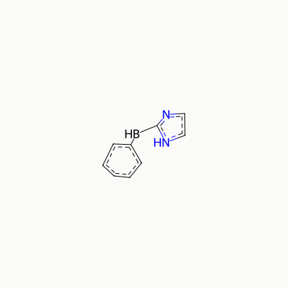 B(c1ccccc1)c1ncc[nH]1